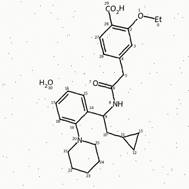 CCOc1cc(CC(=O)NC(CC2CC2)c2ccccc2N2CCCCC2)ccc1C(=O)O.O